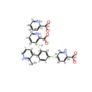 Fc1ccc(-c2cccn[c]2[Ir+3])c(F)c1.O=C([O-])c1ccccn1.O=C([O-])c1ccccn1.O=C([O-])c1ccccn1